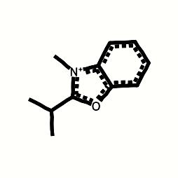 CC(C)c1oc2ccccc2[n+]1C